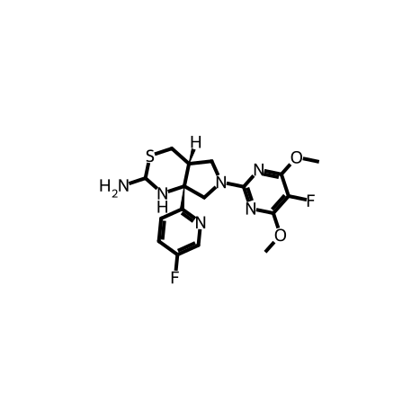 COc1nc(N2C[C@H]3CSC(N)N[C@@]3(c3ccc(F)cn3)C2)nc(OC)c1F